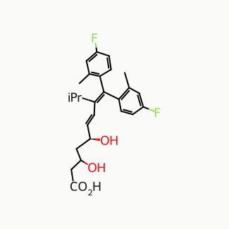 Cc1cc(F)ccc1C(=C(/C=C/[C@@H](O)CC(O)CC(=O)O)C(C)C)c1ccc(F)cc1C